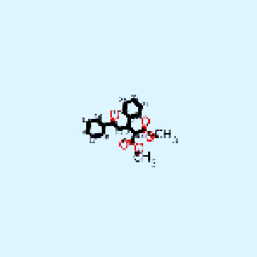 COC(=O)C(C(=O)OC)C(CC(=O)c1ccccc1)c1ccccc1